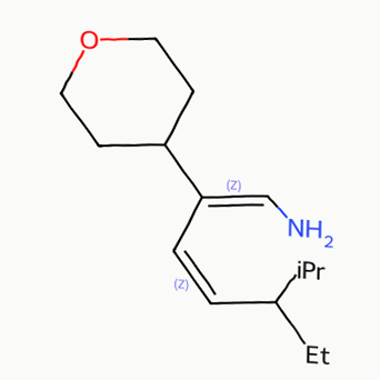 CCC(/C=C\C(=C/N)C1CCOCC1)C(C)C